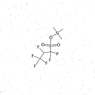 C[Si](C)(C)OS(=O)(=O)C(F)(F)C(F)C(F)(F)F